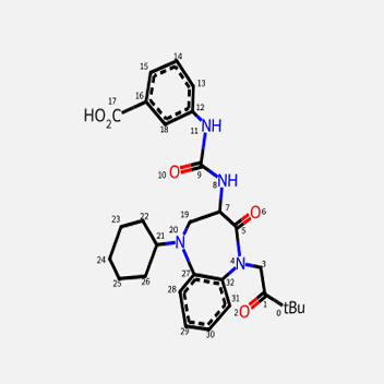 CC(C)(C)C(=O)CN1C(=O)C(NC(=O)Nc2cccc(C(=O)O)c2)CN(C2CCCCC2)c2ccccc21